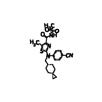 Cc1sc(N(CC2CCC3(CC2)CC3)c2ccc(C#N)cc2)nc1C(=O)NS(C)(=O)=O